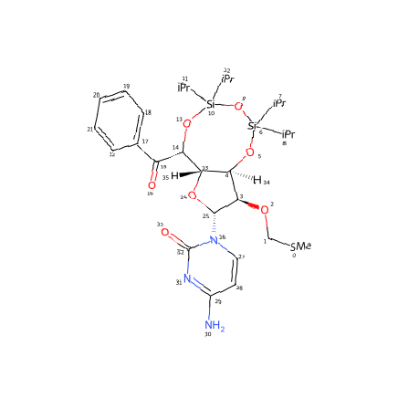 CSCO[C@@H]1[C@@H]2O[Si](C(C)C)(C(C)C)O[Si](C(C)C)(C(C)C)OC(C(=O)c3ccccc3)[C@H]2O[C@H]1n1ccc(N)nc1=O